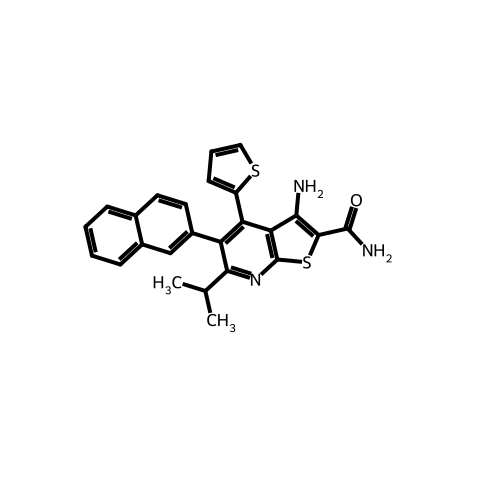 CC(C)c1nc2sc(C(N)=O)c(N)c2c(-c2cccs2)c1-c1ccc2ccccc2c1